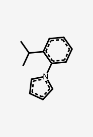 CC(C)c1ccccc1-n1cccc1